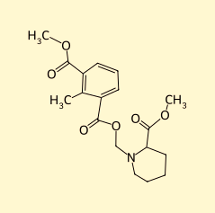 COC(=O)c1cccc(C(=O)OCN2CCCCC2C(=O)OC)c1C